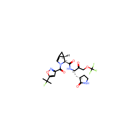 CC(C)(F)c1cc(C(=O)N2C=C3C[C@@H]3[C@H]2C(=O)N[C@@H](C[C@@H]2CCNC2=O)C(=O)COC(F)(F)F)no1